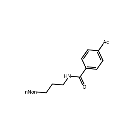 CCCCCCCCCCCCNC(=O)c1ccc(C(C)=O)cc1